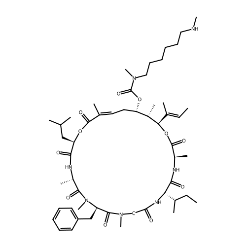 C/C=C(\C)[C@H]1OC(=O)[C@@H](C)NC(=O)[C@H](C(C)CC)NC(=O)CN(C)C(=O)[C@@H](Cc2ccccc2)N(C)C(=O)[C@H](C)NC(=O)[C@@H](CC(C)C)OC(=O)/C(C)=C/C[C@H](OC(=O)N(C)CCCCCCNC)[C@@H]1C